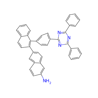 Nc1ccc2cc(-c3ccc4ccccc4c3-c3ccc(-c4nc(-c5ccccc5)nc(-c5ccccc5)n4)cc3)ccc2c1